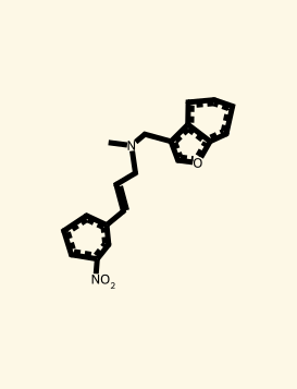 CN(C/C=C/c1cccc([N+](=O)[O-])c1)Cc1coc2ccccc12